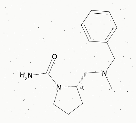 CN(Cc1ccccc1)C[C@@H]1CCCN1C(N)=O